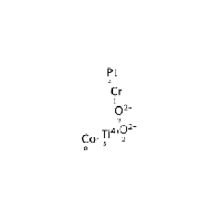 [Co].[Cr].[O-2].[O-2].[Pt].[Ti+4]